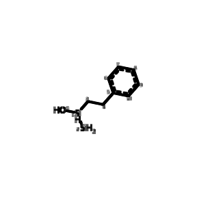 O[SiH]([SiH3])CCc1ccccc1